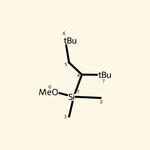 CO[Si](C)(C)C(CC(C)(C)C)C(C)(C)C